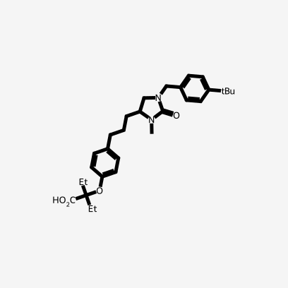 CCC(CC)(Oc1ccc(CCCC2CN(Cc3ccc(C(C)(C)C)cc3)C(=O)N2C)cc1)C(=O)O